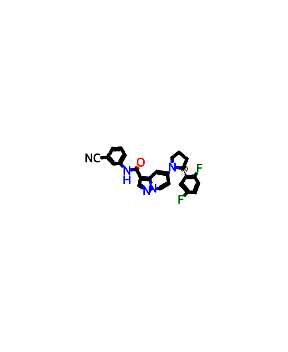 N#Cc1cccc(NC(=O)c2cnn3ccc(N4CCC[C@@H]4c4cc(F)ccc4F)cc23)c1